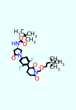 CC(C)(C)OC(=O)N[C@H]1CC(=O)N(c2cc(F)c(C3CCC(=O)N(COCC[Si](C)(C)C)C3=O)c(F)c2)C1